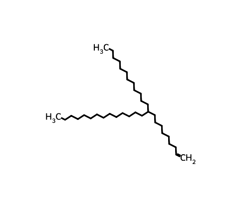 C=CCCCCCCCC(CCCCCCCCCCCC)CCCCCCCCCCCCCC